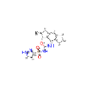 O=C(Nc1c2c(cc3c1CCC3)CCC2)NS(=O)(=O)c1cc[nH]n1.[K]